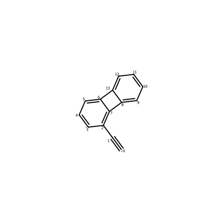 [C]#Cc1[c]ccc2c1-c1ccccc1-2